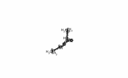 C=C(C)C(=O)OCCCCCNC(=O)OCCc1ccc(OCC(COc2ccccc2)OC(=O)NCCCCCOC(=O)C(=C)C)cc1